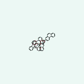 c1ccc(N(c2ccc(-c3ccc4c(ccc5ccccc54)c3)cc2)c2ccccc2-n2c3ccccc3c3ccccc32)c(-c2cccc3oc4cc5ccccc5cc4c23)c1